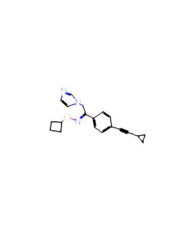 C(#CC1CC1)c1ccc(/C(Cn2ccnc2)=N/OC2CCC2)cc1